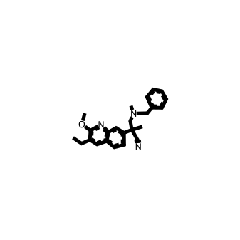 CCc1cc2ccc(C(C)(C#N)CN(C)Cc3ccccc3)cc2nc1OC